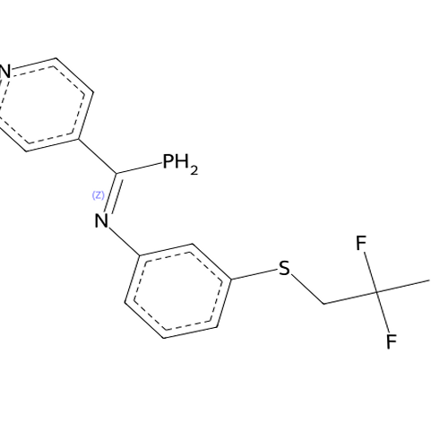 CC(F)(F)CSc1cccc(/N=C(\P)c2ccncc2)c1